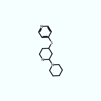 c1cc(SC2CC[N]C(N3CCCCC3)C2)ccn1